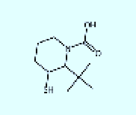 CC(C)(C)C1C(S)CCCN1C(=O)O